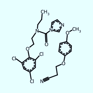 CCCN(CCOc1c(Cl)cc(Cl)cc1Cl)C(=O)n1ccnc1.COc1ccc(OCCC#N)cc1